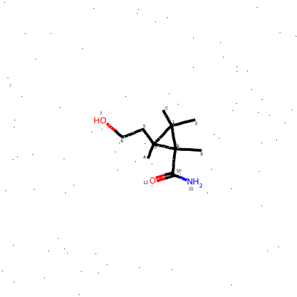 CC1(C)C(C)(CCO)C1(C)C(N)=O